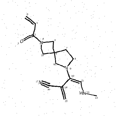 C=CC(=O)N1CC2(CCN(/C(=C/NC)C(=C)C#N)C2)C1